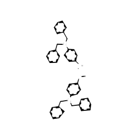 OB(OB(O)c1ccc(N(Cc2ccccc2)Cc2ccccc2)cc1)c1ccc(N(Cc2ccccc2)Cc2ccccc2)cc1